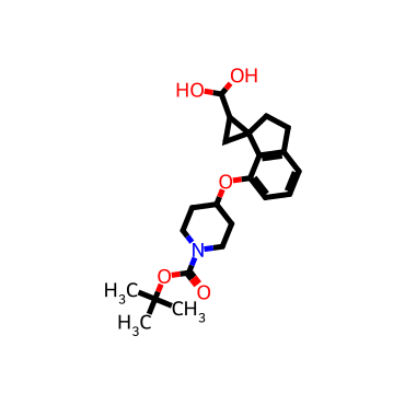 CC(C)(C)OC(=O)N1CCC(Oc2cccc3c2C2(CC3)CC2C(O)O)CC1